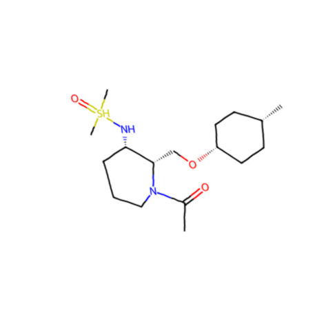 CC(=O)N1CCC[C@H](N[SH](C)(C)=O)[C@@H]1CO[C@H]1CC[C@@H](C)CC1